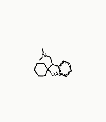 CC(=O)OC1(C(CN(C)C)c2ccccc2)CCCCC1